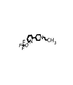 CCCN1CC=C(c2cccc(OC(F)(F)F)n2)CC1